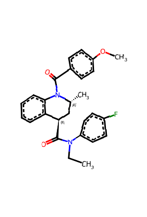 CCN(C(=O)[C@@H]1C[C@@H](C)N(C(=O)c2ccc(OC)cc2)c2ccccc21)c1ccc(F)cc1